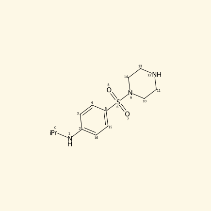 CC(C)Nc1ccc(S(=O)(=O)N2CCNCC2)cc1